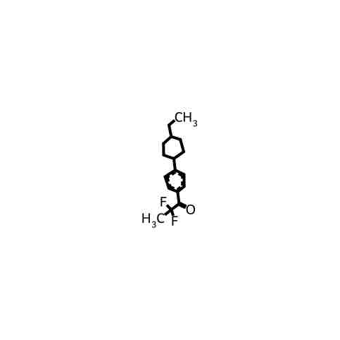 CCC1CCC(c2ccc(C(=O)C(C)(F)F)cc2)CC1